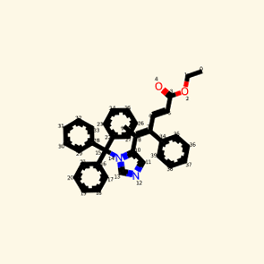 CCOC(=O)C=CC(=C(C)c1cncn1C(c1ccccc1)(c1ccccc1)c1ccccc1)c1ccccc1